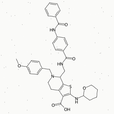 COc1ccc(CN2CCc3c(sc(NC4CCCCO4)c3C(=O)O)C2CNC(=O)c2ccc(NC(=O)c3ccccc3)cc2)cc1